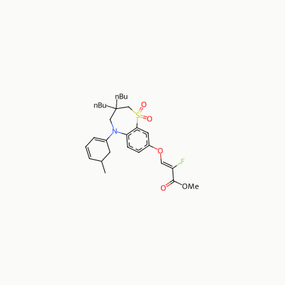 CCCCC1(CCCC)CN(C2=CC=CC(C)C2)c2ccc(O/C=C(\F)C(=O)OC)cc2S(=O)(=O)C1